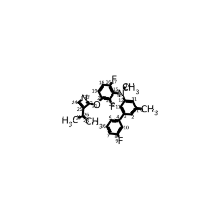 Cc1cc(-c2cccc(F)c2)cc(N(C)c2c(F)ccc(OC3=NC=C3C(C)C)c2F)c1